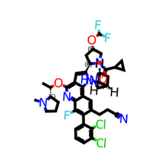 CC(Oc1nc2c(F)c(-c3cccc(Cl)c3Cl)c(CCC#N)cc2c2c1cc([C@H]1C[C@H](OC(F)F)CN1C(=O)C1CC1)n2[C@H]1[C@H]2CN[C@@H]1C2)[C@@H]1CCCN1C